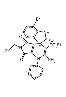 CCOC(=O)C1=C(N)N(c2ccccc2)C2=C(C(=O)N(CC(C)C)C2=O)[C@]12C(=O)Nc1c(Br)cccc12